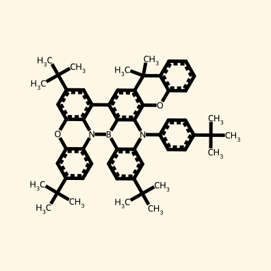 CC(C)(C)c1ccc(N2c3cc(C(C)(C)C)ccc3B3c4c(cc5c(c42)Oc2ccccc2C5(C)C)-c2cc(C(C)(C)C)cc4c2N3c2ccc(C(C)(C)C)cc2O4)cc1